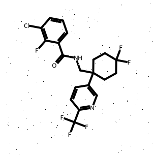 O=C(NCC1(c2ccc(C(F)(F)F)nc2)CCC(F)(F)CC1)c1cccc(Cl)c1F